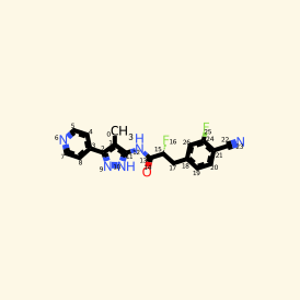 Cc1c(-c2ccncc2)n[nH]c1NC(=O)[C@H](F)Cc1ccc(C#N)c(F)c1